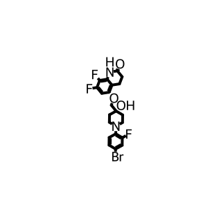 O=C1CCc2c(OCC3(O)CCN(c4ccc(Br)cc4F)CC3)cc(F)c(F)c2N1